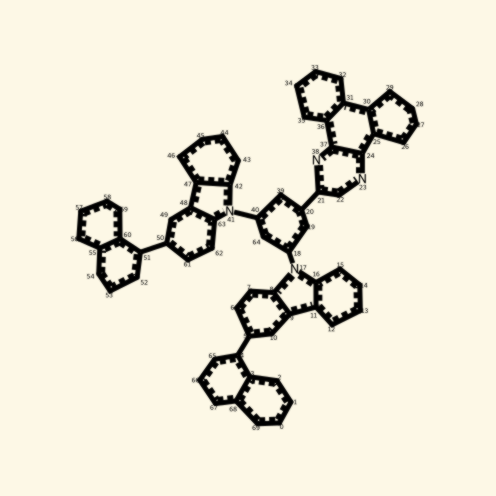 c1ccc2c(-c3ccc4c(c3)c3ccccc3n4-c3cc(-c4cnc5c6ccccc6c6ccccc6c5n4)cc(-n4c5ccccc5c5cc(-c6cccc7ccccc67)ccc54)c3)cccc2c1